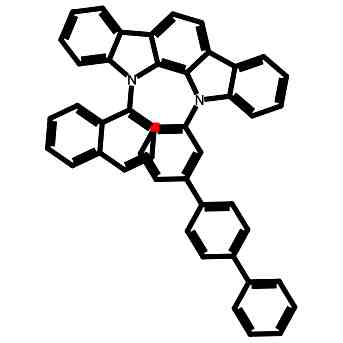 c1ccc(-c2ccc(-c3cccc(-n4c5ccccc5c5ccc6c7ccccc7n(-c7cccc8ccccc78)c6c54)c3)cc2)cc1